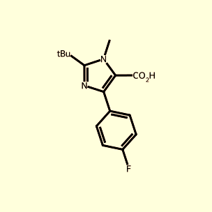 Cn1c(C(C)(C)C)nc(-c2ccc(F)cc2)c1C(=O)O